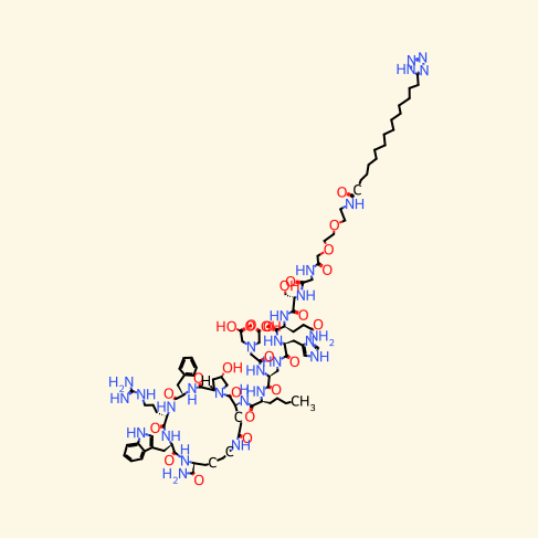 CCCC[C@H](NC(=O)[C@H](CNC(=O)[C@H](Cc1c[nH]cn1)NC(=O)[C@H](CCC(N)=O)NC(=O)[C@H](CO)NC(=O)CNC(=O)COCCOCCNC(=O)CCCCCCCCCCCCCCCc1nnn[nH]1)NC(=O)CN(CC(=O)O)CC(=O)O)C(=O)N[C@H]1CCC(=O)NCCCC[C@@H](C(N)=O)NC(=O)[C@@H](Cc2c[nH]c3ccccc23)NC(=O)[C@H](CCCNC(=N)N)NC(=O)[C@@H](Cc2ccccc2)NC(=O)[C@@H]2C[C@@H](O)CN2C1=O